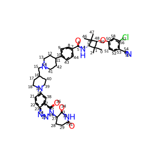 CC1(C)[C@H](NC(=O)c2ccc(C3CCN(CC4CCN(c5ccc6nnn(C7CCC(=O)NC7=O)c(=O)c6c5)CC4)CC3)cc2)C(C)(C)[C@H]1Oc1ccc(C#N)c(Cl)c1